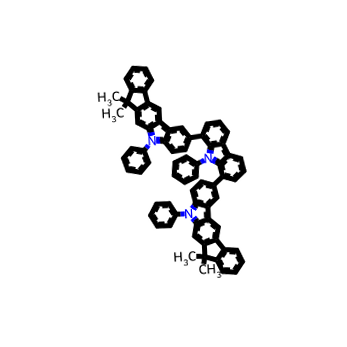 CC1(C)c2ccccc2-c2cc3c4cc(-c5cccc6c7cccc(-c8ccc9c(c8)c8cc%10c(cc8n9-c8ccccc8)C(C)(C)c8ccccc8-%10)c7n(-c7ccccc7)c56)ccc4n(-c4ccccc4)c3cc21